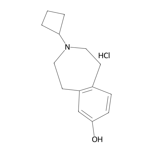 Cl.Oc1ccc2c(c1)CCN(C1CCC1)CC2